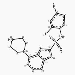 O=S(=O)(Nc1ccc(F)cc1F)c1cc2c(N3CCNCC3)nccc2s1